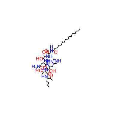 CCCCCCCCCCCCCCCC(=O)NCC(=O)N[C@@H](CO)C(O)N[C@H](CC(N)=O)C(=O)N[C@@H](CC1=CNCN1)C(O)NC(C(=O)N[C@@H](CCCC)C(C)=O)C(C)O